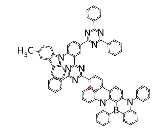 Cc1ccc2c(c1)c1ccccc1n2-c1ccc(-c2nc(-c3ccccc3)nc(-c3ccccc3)n2)cc1-c1nc(-c2ccccc2)nc(-c2ccc(-c3ccc4c5c3N(c3ccccc3)c3ccccc3B5c3ccccc3N4c3ccccc3)cc2)n1